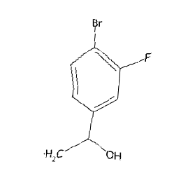 [CH2]C(O)c1ccc(Br)c(F)c1